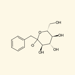 [O]C1(Cc2ccccc2)O[C@H](CO)[C@@H](O)[C@H](O)[C@H]1O